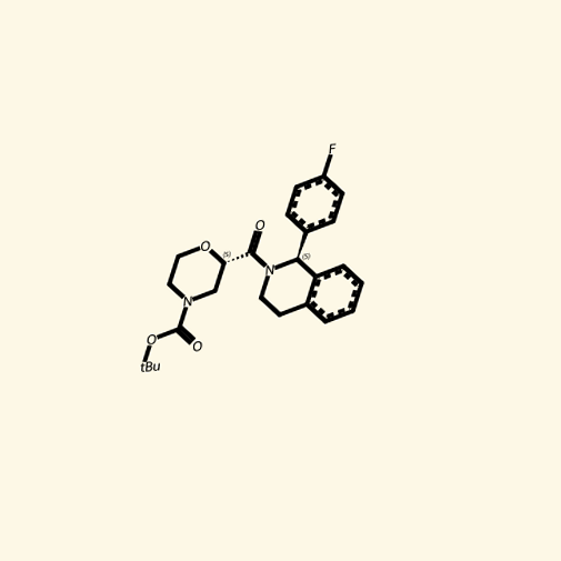 CC(C)(C)OC(=O)N1CCO[C@H](C(=O)N2CCc3ccccc3[C@@H]2c2ccc(F)cc2)C1